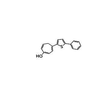 OC1=CC=C(c2ccc(-c3ccccc3)s2)CC=C1